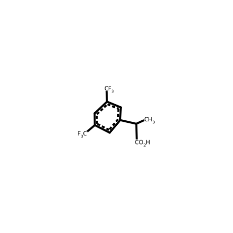 CC(C(=O)O)c1cc(C(F)(F)F)cc(C(F)(F)F)c1